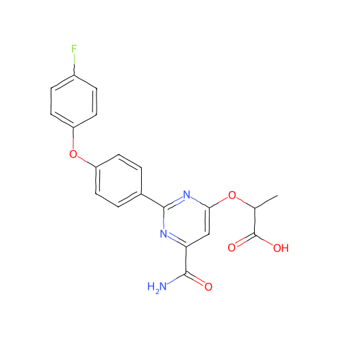 CC(Oc1cc(C(N)=O)nc(-c2ccc(Oc3ccc(F)cc3)cc2)n1)C(=O)O